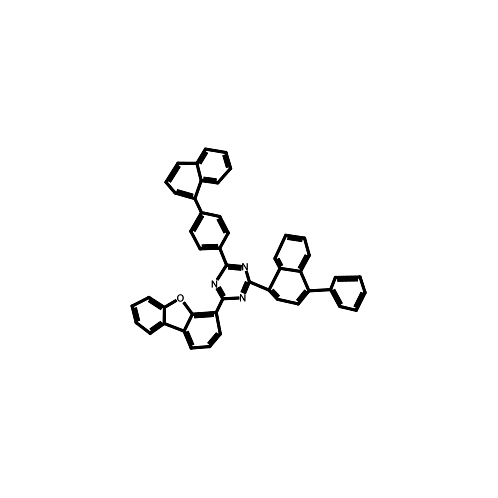 c1ccc(-c2ccc(-c3nc(-c4ccc(-c5cccc6ccccc56)cc4)nc(-c4cccc5c4oc4ccccc45)n3)c3ccccc23)cc1